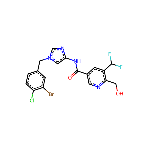 O=C(Nc1cn(Cc2ccc(Cl)c(Br)c2)cn1)c1cnc(CO)c(C(F)F)c1